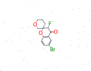 O=C1c2cc(Br)ccc2OC2(CCCOC2)C1F